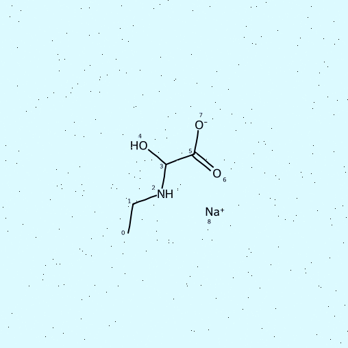 CCNC(O)C(=O)[O-].[Na+]